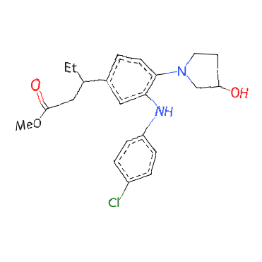 CCC(CC(=O)OC)c1ccc(N2CCC(O)C2)c(Nc2ccc(Cl)cc2)c1